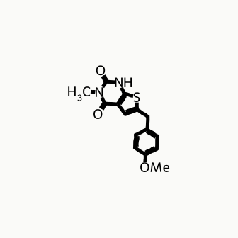 COc1ccc(Cc2cc3c(=O)n(C)c(=O)[nH]c3s2)cc1